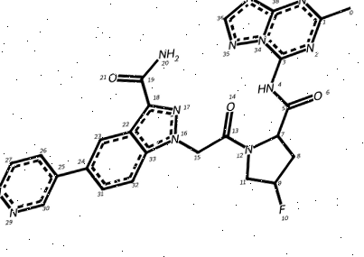 Cc1nc(NC(=O)C2CC(F)CN2C(=O)Cn2nc(C(N)=O)c3cc(-c4ccnnc4)ccc32)n2ncnc2n1